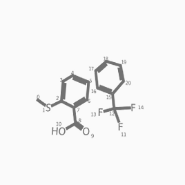 CSc1ccccc1C(=O)O.FC(F)(F)c1ccccc1